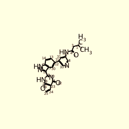 CC(C)CC(=O)Nc1cncc(-c2ccc3[nH]nc(-c4nc(=O)c5ccoc5[nH]4)c3c2)c1